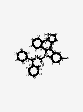 Cc1ccc2c(c1)c1c3cc[nH]c3c3ccccc3c1n2-c1nc(-c2ccccc2)c2ccccc2n1